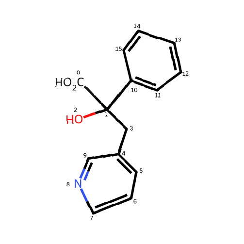 O=C(O)C(O)(Cc1cccnc1)c1ccccc1